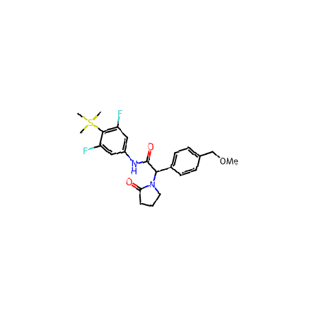 COCc1ccc(C(C(=O)Nc2cc(F)c(S(C)(C)C)c(F)c2)N2CCCC2=O)cc1